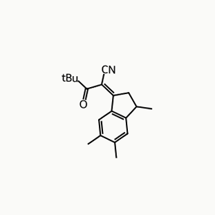 Cc1cc2c(cc1C)C(C)CC2=C(C#N)C(=O)C(C)(C)C